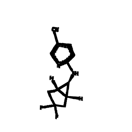 N#Cc1ccc(N[C@H]2[C@@H]3CC(F)(F)C[C@@H]32)nc1